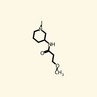 COCCC(=O)NC1CCCN(I)C1